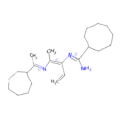 C=CC(/N=C(\N)C1CCCCCCC1)=C(C)\N=C(/C)C1CCCCCC1